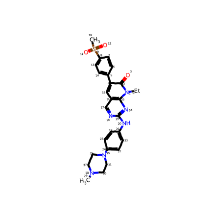 CCn1c(=O)c(-c2ccc(S(C)(=O)=O)cc2)cc2cnc(Nc3ccc(N4CCN(C)CC4)cc3)nc21